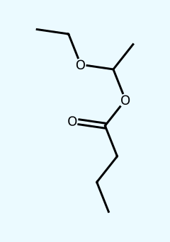 CCCC(=O)OC(C)OCC